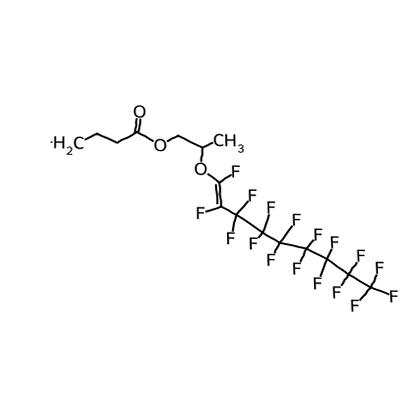 [CH2]CCC(=O)OCC(C)OC(F)=C(F)C(F)(F)C(F)(F)C(F)(F)C(F)(F)C(F)(F)C(F)(F)C(F)(F)F